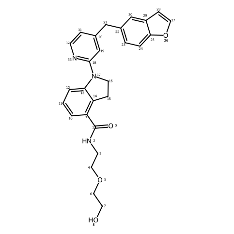 O=C(NCCOCCO)c1cccc2c1CCN2c1cc(Cc2ccc3occc3c2)ccn1